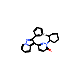 N#CC1CCCCC1n1nc(-c2c(-c3ccccc3)nn3ccccc23)ccc1=O